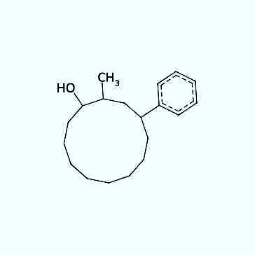 CC1CC(c2ccccc2)CCCCCCCCC1O